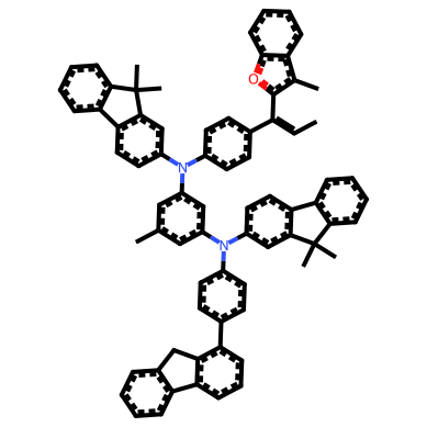 C/C=C(/c1ccc(N(c2cc(C)cc(N(c3ccc(-c4cccc5c4Cc4ccccc4-5)cc3)c3ccc4c(c3)C(C)(C)c3ccccc3-4)c2)c2ccc3c(c2)C(C)(C)c2ccccc2-3)cc1)c1oc2ccccc2c1C